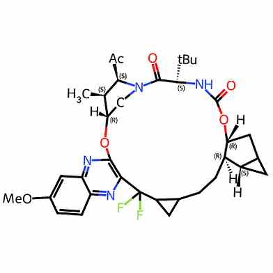 COc1ccc2nc3c(nc2c1)O[C@H]1CN(C(=O)[C@H](C(C)(C)C)NC(=O)O[C@@H]2CC4C[C@@H]4[C@H]2CCC2CC2C3(F)F)[C@H](C(C)=O)[C@@H]1C